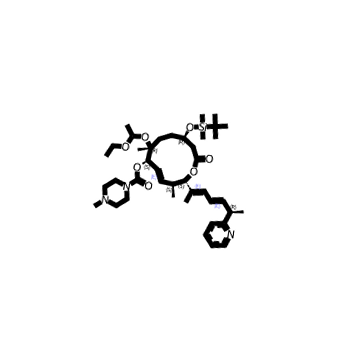 CCOC(C)O[C@]1(C)CC[C@@H](O[Si](C)(C)C(C)(C)C)CC(=O)O[C@H](/C(C)=C/C=C/[C@@H](C)c2ccccn2)[C@@H](C)/C=C/[C@@H]1OC(=O)N1CCN(C)CC1